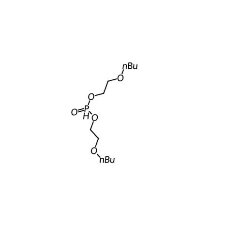 CCCCOCCO[PH](=O)OCCOCCCC